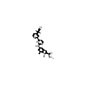 Cc1cc(Nc2nccc(-c3cc(C(C)(C)C#N)ccn3)n2)cc2cc(C(N)=O)[nH]c12